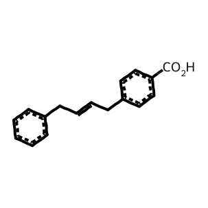 O=C(O)c1ccc(CC=CCc2ccccc2)cc1